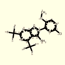 COc1cnc(Cl)nc1-n1nc2nc(C(F)(F)F)nc(C(F)(F)F)c2c1N